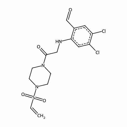 C=CS(=O)(=O)N1CCN(C(=O)CNc2cc(Cl)c(Cl)cc2C=O)CC1